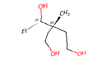 CC[C@H](O)[C@@](C)(CO)CCO